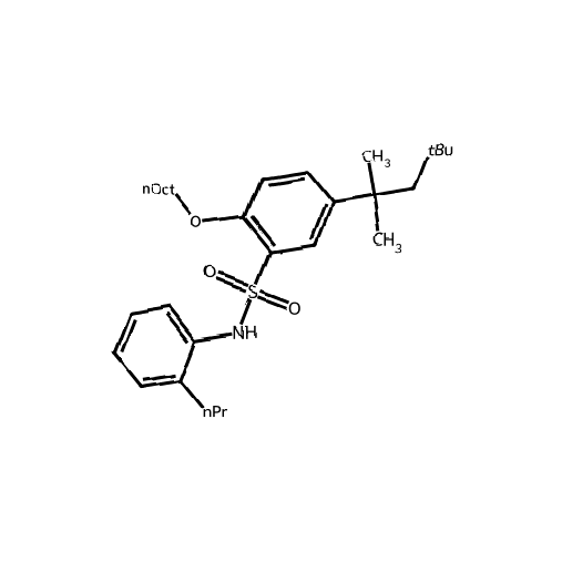 C[CH]Cc1ccccc1NS(=O)(=O)c1cc(C(C)(C)CC(C)(C)C)ccc1OCCCCCCCC